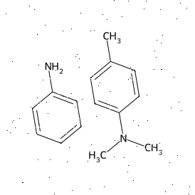 Cc1ccc(N(C)C)cc1.Nc1ccccc1